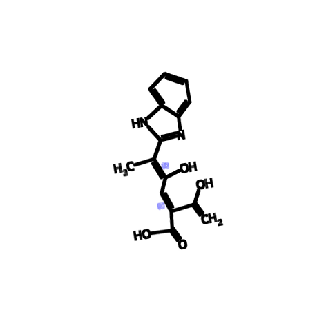 C=C(O)/C(=C\C(O)=C(/C)c1nc2ccccc2[nH]1)C(=O)O